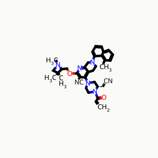 C=CC(=O)N1CCN(c2c(C#N)c(OCC3N(C)CC3(C)C)nc3c2CCN(c2cccc4cccc(C)c24)C3)C[C@@H]1CC#N